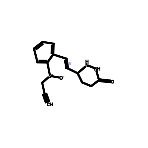 C#CC[S+]([O-])c1ccccc1/C=C/C1CCC(=O)NN1